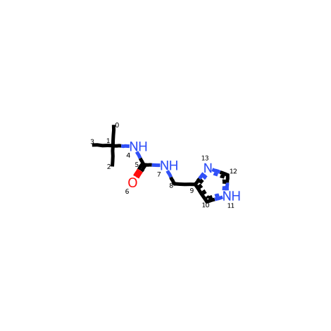 CC(C)(C)NC(=O)NCc1c[nH]cn1